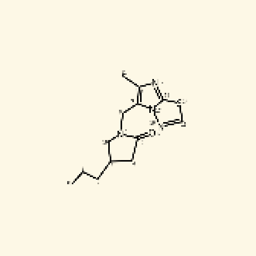 CCCC1CC(=O)N(Cc2c(C)nc3scnn23)C1